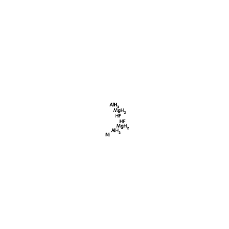 F.F.[AlH3].[AlH3].[MgH2].[MgH2].[Ni]